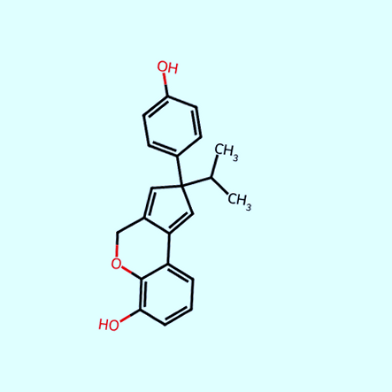 CC(C)C1(c2ccc(O)cc2)C=C2COc3c(O)cccc3C2=C1